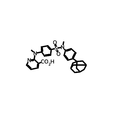 CN(c1ccc(S(=O)(=O)N(C)c2ccc(C34CC5CC(CC(C5)C3)C4)cc2)cc1)c1ncccc1C(=O)O